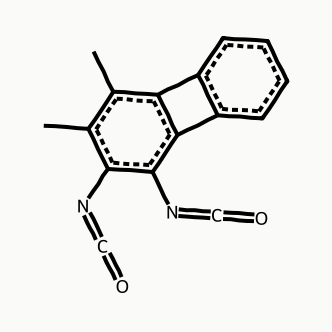 Cc1c(C)c2c(c(N=C=O)c1N=C=O)-c1ccccc1-2